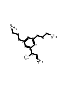 C=C[C](C)c1cc(CCCC)cc(CCCC)c1